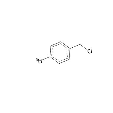 [3H]c1ccc(CCl)cc1